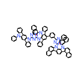 c1ccc(-c2nc(-c3cccc(-c4cc5c6ccccc6n(-c6nc(-c7ccccc7)nc(-n7c8ccccc8c8cc9c(cc87)c7ccccc7n9-c7ccccc7)n6)c5c5c4c4ccccc4n5-c4ccccc4)c3)nc(-n3c4ccc5ccccc5c4c4ccc5c6c7ccccc7ccc6n(-c6ccc7ccccc7c6)c5c43)n2)cc1